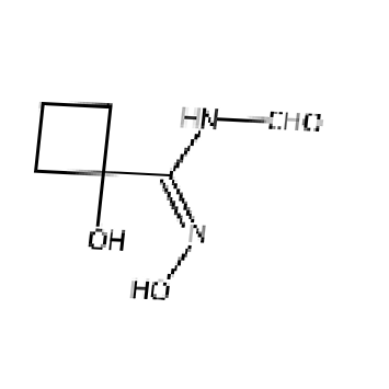 O=CN/C(=N/O)C1(O)CCC1